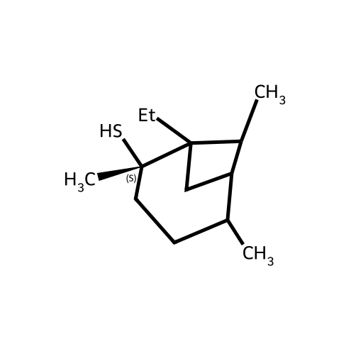 CCC12CC(C(C)CC[C@]1(C)S)C2C